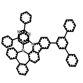 c1ccc(-c2cc(-c3ccccc3)cc(-c3ccc4c(c3)c3ccc5c(c3n4-c3nc(-c4ccccc4)nc(-c4ccccc4)n3)N(c3ccccc3)c3ccccc3-c3ccccc3-5)c2)cc1